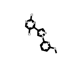 COc1cccc(-n2cc(-c3nc(Cl)ncc3Cl)cn2)n1